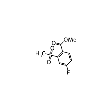 COC(=O)c1ccc(F)cc1S(C)(=O)=O